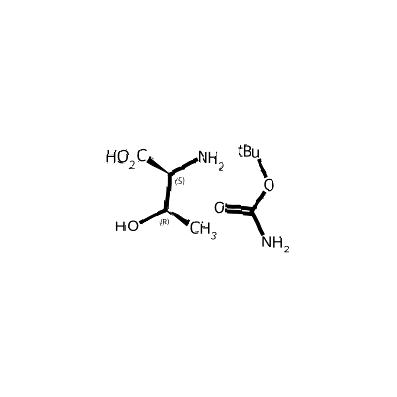 CC(C)(C)OC(N)=O.C[C@@H](O)[C@H](N)C(=O)O